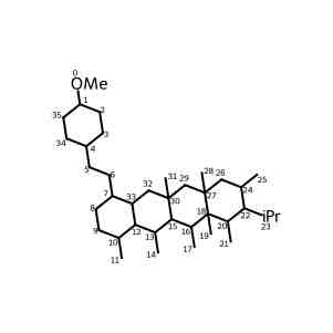 COC1CCC(CCC2CCC(C)C3C(C)C4C(C)C5(C)C(C)C(C(C)C)C(C)CC5(C)CC4(C)CC23)CC1